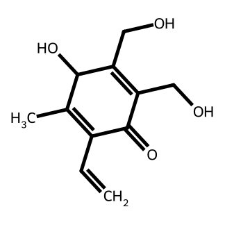 C=CC1=C(C)C(O)C(CO)=C(CO)C1=O